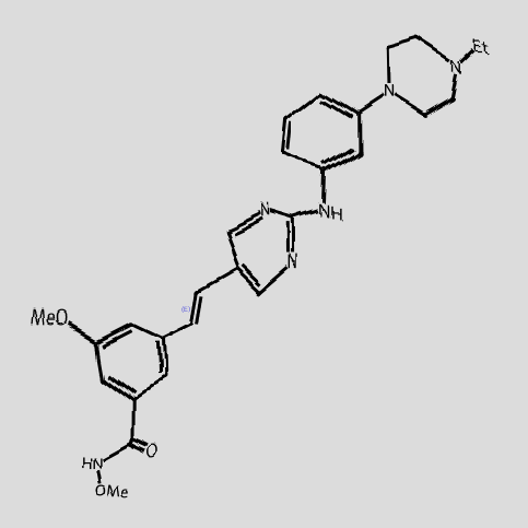 CCN1CCN(c2cccc(Nc3ncc(/C=C/c4cc(OC)cc(C(=O)NOC)c4)cn3)c2)CC1